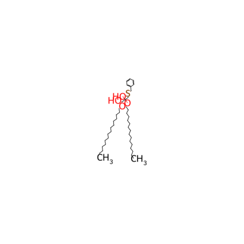 CCCCCCCCCCCCCCCCOC(O)C(O)(CSCc1ccccc1)OCCCCCCCCCCCCCCCC